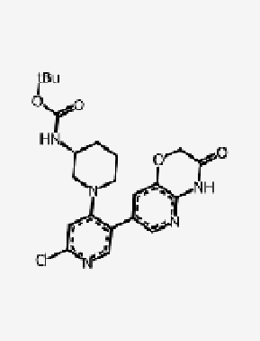 CC(C)(C)OC(=O)N[C@H]1CCCN(c2cc(Cl)ncc2-c2cnc3c(c2)OCC(=O)N3)C1